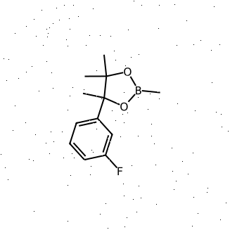 CB1OC(C)(C)C(C)(c2cccc(F)c2)O1